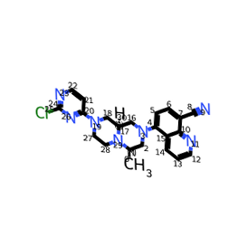 C[C@@H]1CN(c2ccc(C#N)c3ncccc23)C[C@@H]2CN(c3ccnc(Cl)n3)CCN21